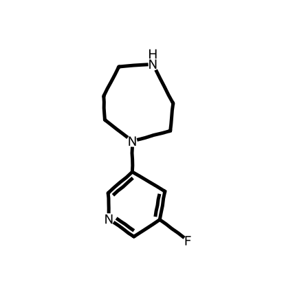 Fc1cncc(N2CCCNCC2)c1